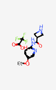 CCOc1ccc(NC(=O)C2CNC2)nc1.O=C(O)C(F)(F)F